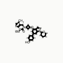 Cn1cncc1CN(C(=O)OC(C)(C)C)[C@H]1C[C@H](Oc2cc(-c3ccc(O)cc3)cc3c2cnn3C2CCCCO2)C1